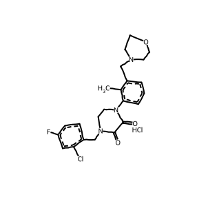 Cc1c(CN2CCOCC2)cccc1N1CCN(Cc2ccc(F)cc2Cl)C(=O)C1=O.Cl